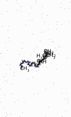 CC/C=C\C/C=C\C/C=C\C/C=C\C/C=C\C/C=C\CCC(=O)NCCSSC(C)(C)[C@H](N)CO